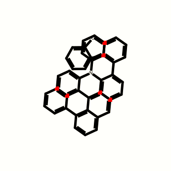 c1ccc(-c2cccc3cccc(-c4ccccc4N(c4ccccc4)c4ccccc4-c4cccc5oc6ccccc6c45)c23)cc1